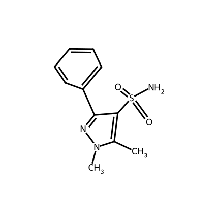 Cc1c(S(N)(=O)=O)c(-c2ccccc2)nn1C